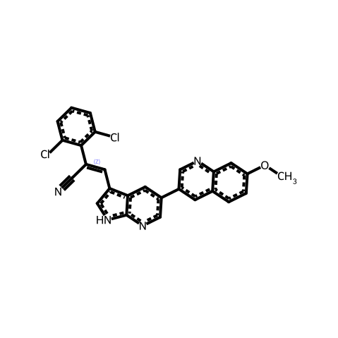 COc1ccc2cc(-c3cnc4[nH]cc(/C=C(\C#N)c5c(Cl)cccc5Cl)c4c3)cnc2c1